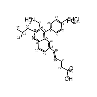 Cc1ccc(-c2c(CN)c(CC(C)C)nc3ccc(C=CCCC(=O)O)cc23)cc1.Cl.Cl